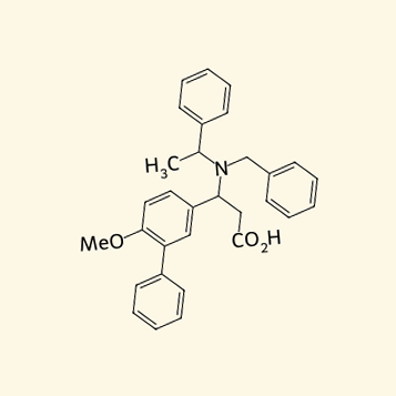 COc1ccc(C(CC(=O)O)N(Cc2ccccc2)C(C)c2ccccc2)cc1-c1ccccc1